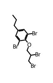 CCCc1cc(Br)c(OCC(Br)CBr)c(Br)c1